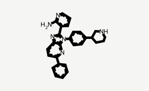 Nc1ncccc1-c1nc2ccc(-c3ccccc3)nc2n1-c1ccc(C2CCCNC2)cc1